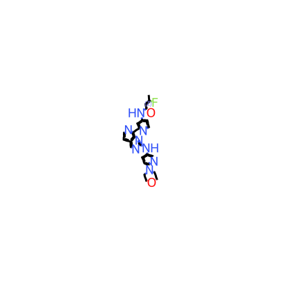 C/C(F)=C/C(=O)Nc1ccnc(-c2nccc3cnc(Nc4ccc(N5CCOCC5)nc4)nc23)c1